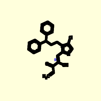 C=CC(=O)/C(O)=C/c1ncc(Cl)n1CCC(c1ccccc1)c1ccccc1